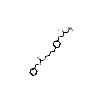 NCC(O)COc1ccc(CCCCNC(=O)OCc2ccccc2)cc1